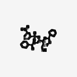 N=C[C@@H](F)[C@H](OC(=O)c1ccccc1)[C@@H](COC(=O)c1ccccc1)OS(=O)(=O)c1cccc([N+](=O)[O-])c1